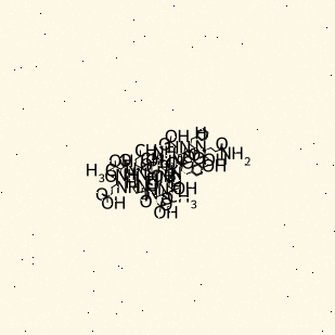 CC(C)C[C@H](NC(=O)[C@@H](NC(=O)[C@@H](N)CCC(=O)O)[C@@H](C)O)C(=O)N[C@H](C(=O)N1CCC[C@H]1C(=O)N[C@@H](CC(=O)O)C(=O)N[C@H](C(=O)N[C@@H](CCC(N)=O)C(=O)N[C@@H](Cc1ccc(O)cc1)C(=O)N[C@@H](CCC(=O)O)C(=O)N[C@@H](Cc1ccccc1)C(=O)N[C@@H](CCC(N)=O)C(=O)O)[C@@H](C)O)[C@@H](C)O